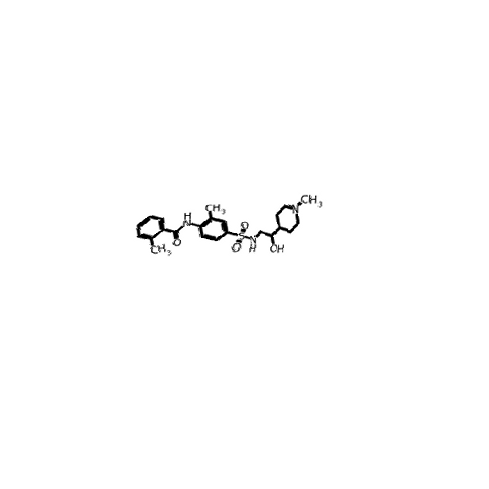 Cc1cc(S(=O)(=O)NCC(O)C2CCN(C)CC2)ccc1NC(=O)c1ccccc1C